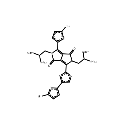 CCCCCCCCC(CCCCCC)CN1C(=O)C2=C(c3ncc(-c4ccc(C(C)C)s4)s3)N(CC(CCCCCC)CCCCCCCC)C(=O)C2=C1c1ccc(C(C)(C)C)s1